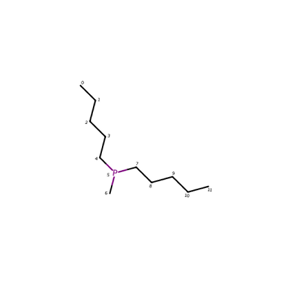 CCCCCP(C)CCCCC